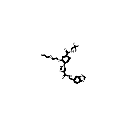 O=C(NCC(F)(F)F)c1ccc(-n2cc(C(=O)NCc3ccc4c(c3)OCO4)nn2)c(OCCOCCF)c1